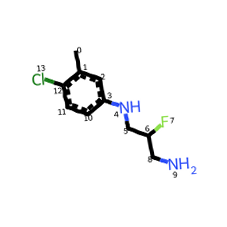 Cc1cc(NCC(F)CN)ccc1Cl